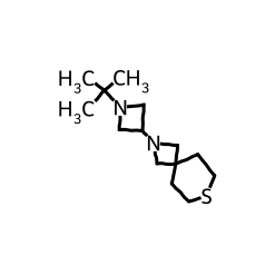 CC(C)(C)N1CC(N2CC3(CCSCC3)C2)C1